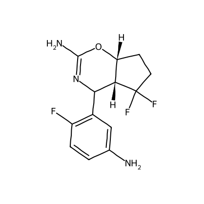 NC1=NC(c2cc(N)ccc2F)[C@@H]2[C@@H](CCC2(F)F)O1